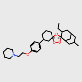 CCC1CC2CC(C)CC(C2)[C@@]12OO[C@@]1(CCCC(c3ccc(OCCN4CCCCC4)cc3)C1)O2